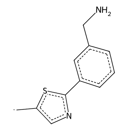 [CH2]c1cnc(-c2cccc(CN)c2)s1